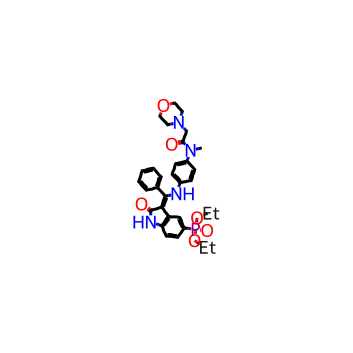 CCOP(=O)(OCC)c1ccc2c(c1)C(=C(Nc1ccc(N(C)C(=O)CN3CCOCC3)cc1)c1ccccc1)C(=O)N2